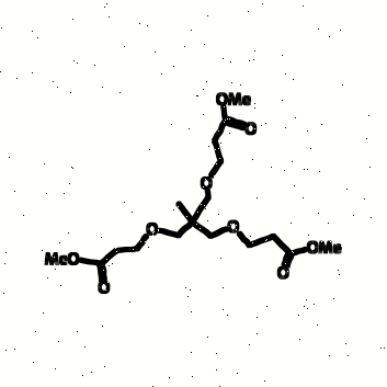 COC(=O)CCOCC(C)(COCCC(=O)OC)COCCC(=O)OC